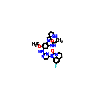 C=CC(=O)Nc1cc(Nc2nccc(-n3c(=O)n4c5c(cc(F)cc53)CCC4)n2)c(OC)cc1N1CC2(CCCN2)C1